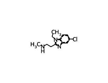 CCn1c(CCNC)nc2cc(Cl)ccc21